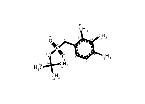 Cc1ccc(CS(=O)(=O)OC(C)(C)C)c(C)c1C